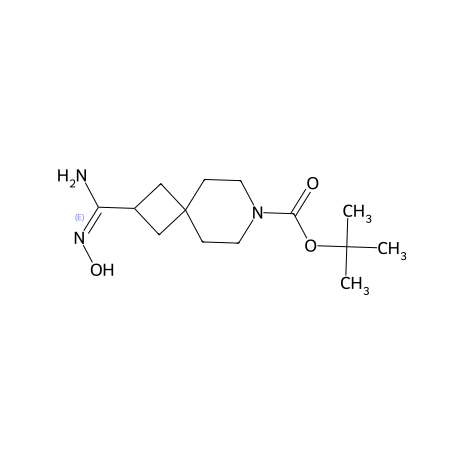 CC(C)(C)OC(=O)N1CCC2(CC1)CC(/C(N)=N\O)C2